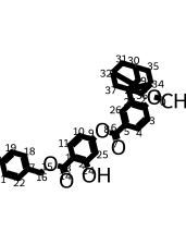 COc1ccc(C(=O)Oc2ccc(C(=O)OCc3ccccc3)c(O)c2)cc1C12CC3CC(CC(C3)C1)C2